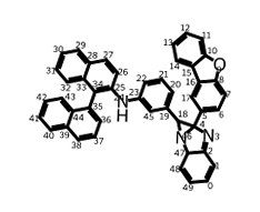 C1=CC2=NC3(c4ccc5oc6ccccc6c5c4)C(c4cccc(Nc5ccc6ccccc6c5-c5cccc6ccccc56)c4)N3C2C=C1